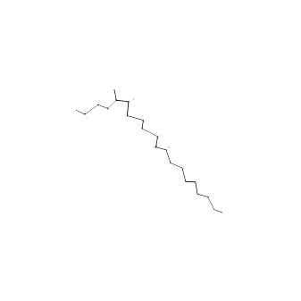 CCCCCCCCCCCCCCCC(C)CCCC